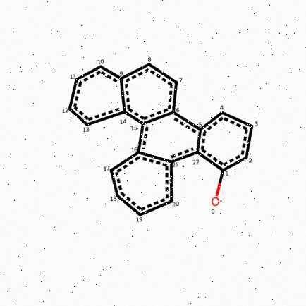 [O]c1cccc2c3ccc4ccccc4c3c3ccccc3c12